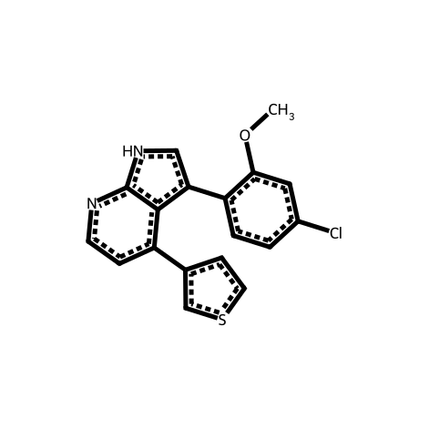 COc1cc(Cl)ccc1-c1c[nH]c2nccc(-c3ccsc3)c12